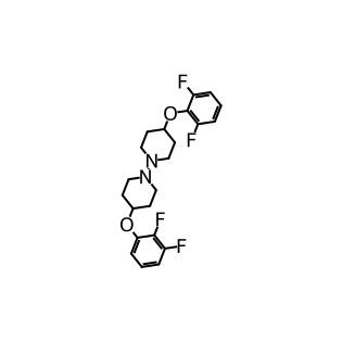 Fc1cccc(OC2CCN(N3CCC(Oc4c(F)cccc4F)CC3)CC2)c1F